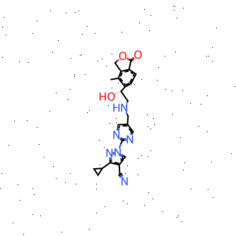 Cc1c([C@@H](O)CNCc2cnc(-n3cc(C#N)c(C4CC4)n3)nc2)ccc2c1COC2=O